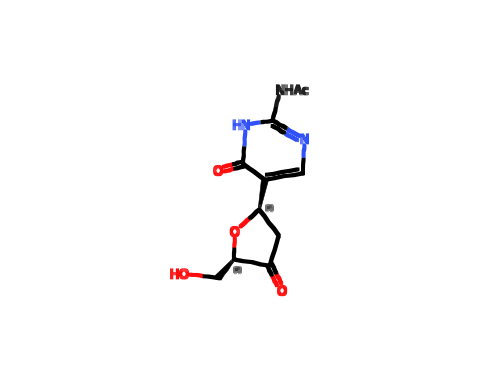 CC(=O)Nc1ncc([C@H]2CC(=O)[C@@H](CO)O2)c(=O)[nH]1